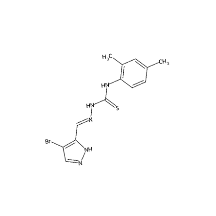 Cc1ccc(NC(=S)NN=Cc2[nH]ncc2Br)c(C)c1